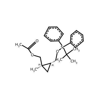 CC(=O)OC[C@]1(C)C[C@H]1CO[Si](c1ccccc1)(c1ccccc1)C(C)(C)C